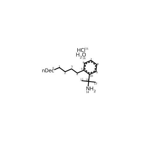 CCCCCCCCCCCCCCc1ccccc1C(C)(C)N.Cl.O